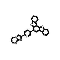 c1ccc2c(c1)oc1c2cc(-c2ccc(-c3cn4cccnc4n3)nc2)c2oc3ccccc3c21